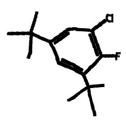 CC(C)(C)c1cc(Cl)c(F)c(C(C)(C)C)c1